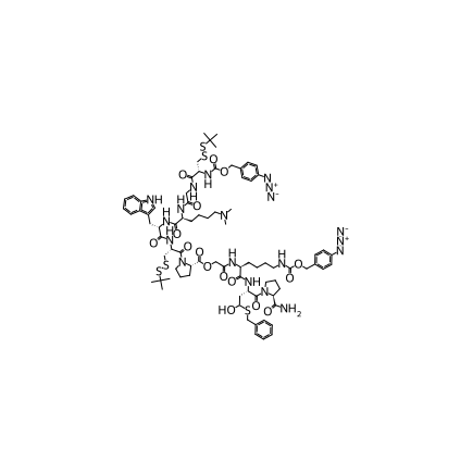 CN(C)CCCC[C@H](NC(=O)CNC(=O)[C@H](CSSC(C)(C)C)NC(=O)OCc1ccc(N=[N+]=[N-])cc1)C(=O)N[C@@H](Cc1c[nH]c2ccccc12)C(=O)N[C@@H](CSSC(C)(C)C)C(=O)N1CCC[C@H]1C(=O)OCC(=O)N[C@@H](CCCCNC(=O)OCc1ccc(N=[N+]=[N-])cc1)C(=O)N[C@@H](CC(O)SCc1ccccc1)C(=O)N1CCC[C@H]1C(N)=O